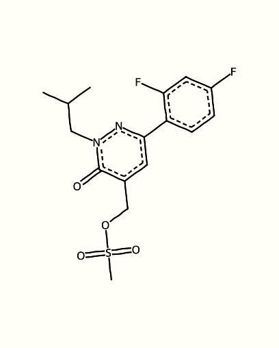 CC(C)Cn1nc(-c2ccc(F)cc2F)cc(COS(C)(=O)=O)c1=O